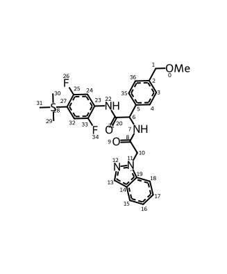 COCc1ccc(C(NC(=O)Cn2ncc3ccccc32)C(=O)Nc2cc(F)c(S(C)(C)C)cc2F)cc1